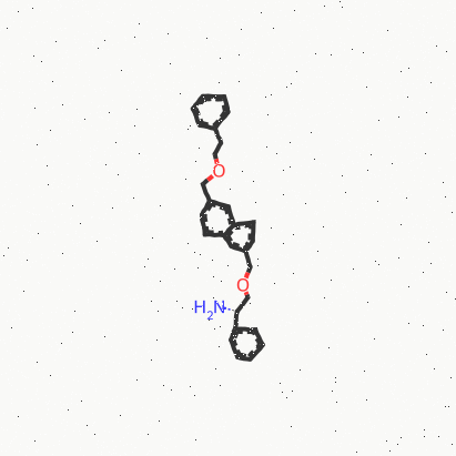 N[C@H](COCc1ccc2cc(COCCc3ccccc3)ccc2c1)c1ccccc1